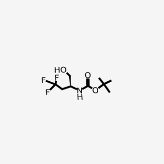 CC(C)(C)OC(=O)N[C@H](CO)CC(F)(F)F